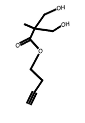 C#CCCOC(=O)C(C)(CO)CO